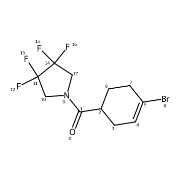 O=C(C1CC=C(Br)CC1)N1CC(F)(F)C(F)(F)C1